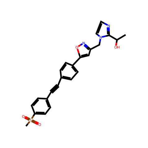 CC(O)c1nccn1Cc1cc(-c2ccc(C#Cc3ccc(S(C)(=O)=O)cc3)cc2)on1